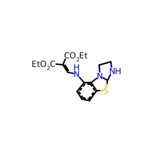 CCOC(=O)C(=CNc1cccc2c1N1CCNC1S2)C(=O)OCC